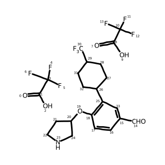 O=C(O)C(F)(F)F.O=C(O)C(F)(F)F.O=Cc1ccc(OC2CCNC2)c(C2CCC(C(F)(F)F)CC2)c1